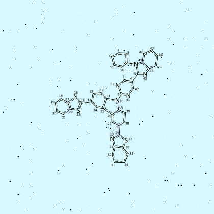 c1ccc(-n2c(-c3cnc(-n4c5ccc(-c6nc7ccccc7s6)cc5c5cc(-c6nc7ccccc7s6)ccc54)nc3)nc3ccccc32)cc1